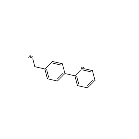 CC(=O)Cc1ccc(-c2ccccn2)cc1